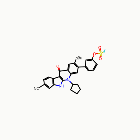 CCCCc1cc2c(=O)c3c4ccc(C#N)cc4[nH]c3n(C3CCCC3)c2cc1-c1cccc(OS(=O)(=O)F)c1